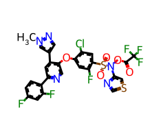 Cn1cc(-c2cc(-c3ccc(F)cc3F)ncc2Oc2cc(F)c(S(=O)(=O)N(OC(=O)C(F)(F)F)c3cscn3)cc2Cl)cn1